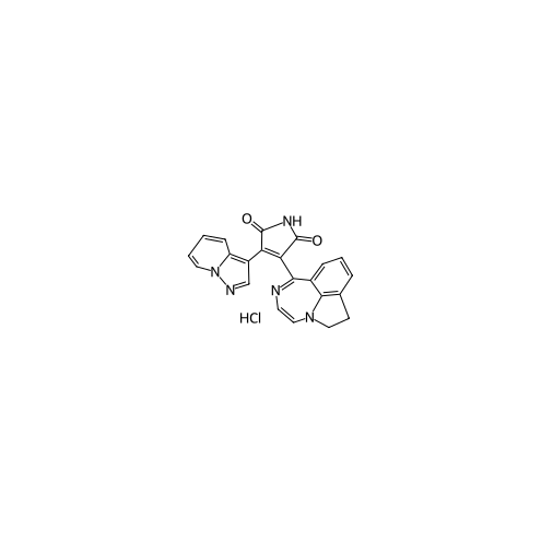 Cl.O=C1NC(=O)C(c2cnn3ccccc23)=C1C1=NC=CN2CCc3cccc1c32